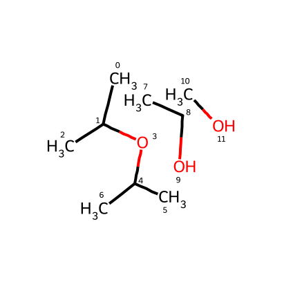 CC(C)OC(C)C.CCO.CO